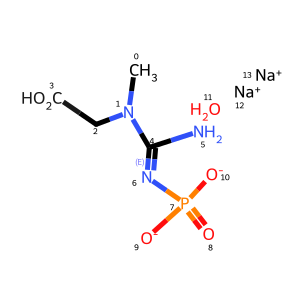 CN(CC(=O)O)/C(N)=N/P(=O)([O-])[O-].O.[Na+].[Na+]